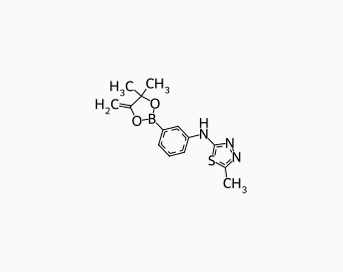 C=C1OB(c2cccc(Nc3nnc(C)s3)c2)OC1(C)C